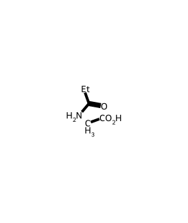 CC(=O)O.CCC(N)=O